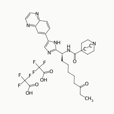 CCC(=O)CCCCC[C@H](NC(=O)C12CCN(CC1)CC2)c1ncc(-c2ccc3nccnc3c2)[nH]1.O=C(O)C(F)(F)F.O=C(O)C(F)(F)F